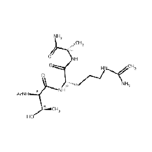 C=C(N)NCCC[C@H](NC(=O)[C@H](NC(C)=O)[C@@H](C)O)C(=O)N[C@@H](C)C(N)=O